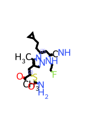 CC(=O)/C(=C/c1cnn(/C(=C\C(=C=N)NCCF)CCC2CC2)c1C)SC(N)=O